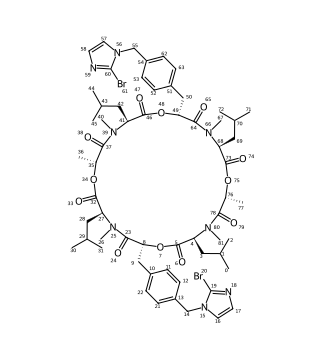 CC(C)C[C@H]1C(=O)O[C@H](Cc2ccc(Cn3ccnc3Br)cc2)C(=O)N(C)[C@@H](CC(C)C)C(=O)O[C@H](C)C(=O)N(C)[C@@H](CC(C)C)C(=O)O[C@H](Cc2ccc(Cn3ccnc3Br)cc2)C(=O)N(C)[C@@H](CC(C)C)C(=O)O[C@H](C)C(=O)N1C